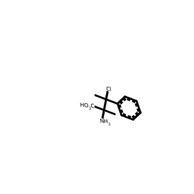 CC(N)(C(=O)O)C(C)(Cl)c1ccccc1